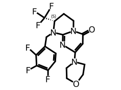 O=c1cc(N2CCOCC2)nc2n1CC[C@@H](C(F)(F)F)N2Cc1ccc(F)c(F)c1F